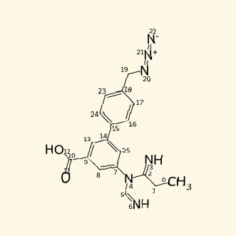 CCC(=N)N(C=N)c1cc(C(=O)O)cc(-c2ccc(CN=[N+]=[N-])cc2)c1